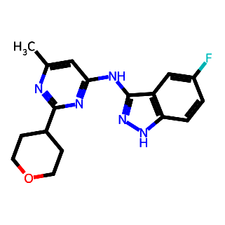 Cc1cc(Nc2n[nH]c3ccc(F)cc23)nc(C2CCOCC2)n1